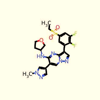 CCS(=O)(=O)c1cc(F)c(F)c(-c2cnn3cc(-c4cnn(C)c4)c(N[C@H]4CCOC4)nc23)c1